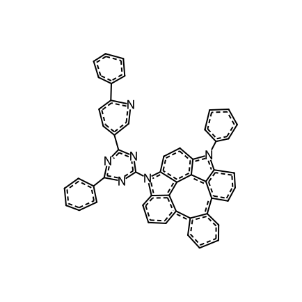 c1ccc(-c2ccc(-c3nc(-c4ccccc4)nc(-n4c5cccc6c7ccccc7c7cccc8c7c7c(c65)c4ccc7n8-c4ccccc4)n3)cn2)cc1